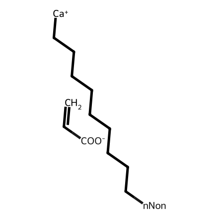 C=CC(=O)[O-].CCCCCCCCCCCCCCCCC[CH2][Ca+]